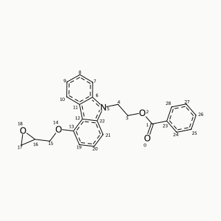 O=C(OCCn1c2ccccc2c2c(OCC3CO3)cccc21)c1ccccc1